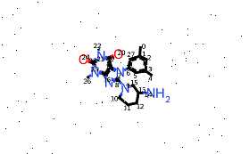 Cc1cc(C)cc(-n2c(N3CCCC(N)C3)nc3c2c(=O)n(C)c(=O)n3C)c1